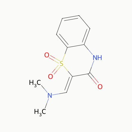 CN(C)C=C1C(=O)Nc2ccccc2S1(=O)=O